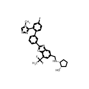 Cn1cnnc1-c1cc(F)ccc1-c1cccc(-c2nc3cc(CN[C@@H]4CCC[C@@H]4O)cc(C(C)(F)F)c3o2)c1